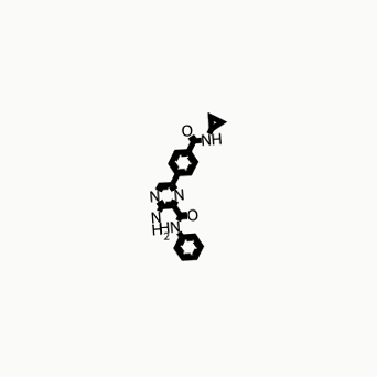 Nc1ncc(-c2ccc(C(=O)NC3CC3)cc2)nc1C(=O)Nc1ccccc1